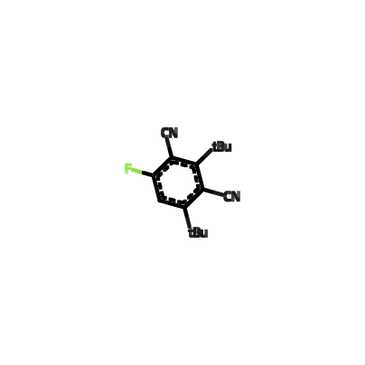 CC(C)(C)c1cc(F)c(C#N)c(C(C)(C)C)c1C#N